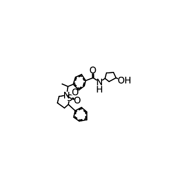 CC(c1ccc(C(=O)NC2CCC(O)C2)cc1)N1CCCC(c2ccccc2)S1(=O)=O